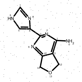 Nc1nc(-c2c[nH]cn2)nc2c1COC2